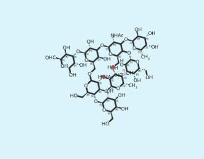 CC(=O)N[C@@H]1C(O[C@@H]2O[C@@H](C)[C@@H](O)[C@@H](O)[C@@H]2O)C(O[C@@H]2O[C@H](CO)[C@H](O)[C@H](O)[C@H]2O)[C@@H](CO)O[C@H]1OC1[C@@H](O)[C@H](O[C@@H]([C@H](O)[C@@H](O)C=O)[C@H](O)CO)O[C@H](COC2O[C@H](CO)[C@@H](O[C@@H]3O[C@H](CO)[C@H](O)[C@H](O)[C@H]3O)[C@H](O[C@@H]3O[C@@H](C)[C@@H](O)[C@@H](O)[C@@H]3O)[C@H]2NC(C)=O)[C@@H]1O